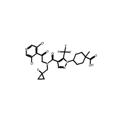 CC1(C(=O)O)CCC(n2ncc(C(=O)N(CC(=O)c3c(Cl)cncc3Cl)CC3(F)CC3)c2C(F)(F)F)CC1